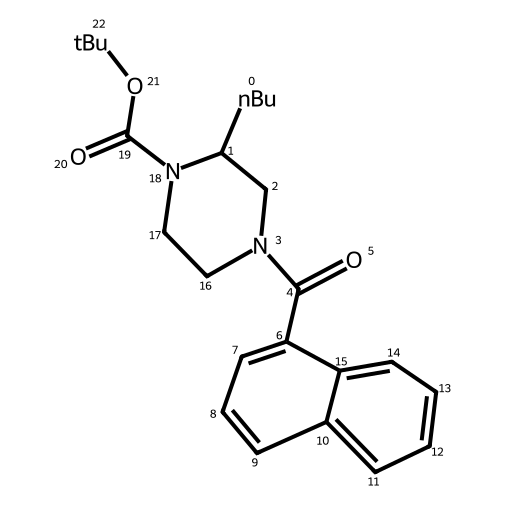 CCCCC1CN(C(=O)c2cccc3ccccc23)CCN1C(=O)OC(C)(C)C